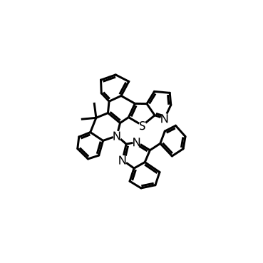 CC1(C)c2ccccc2N(c2nc(-c3ccccc3)c3ccccc3n2)c2c1c1ccccc1c1c2sc2ncccc21